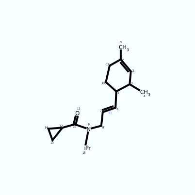 CC1=CC(C)C(/C=C/CN(C(=O)C2CC2)C(C)C)CC1